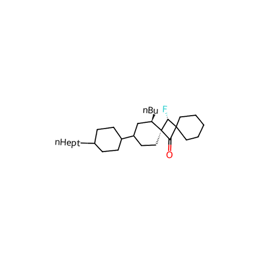 CCCCCCCC1CCC(C2CC[C@]3(C(=O)C4(CCCCC4)[C@H]3F)[C@H](CCCC)C2)CC1